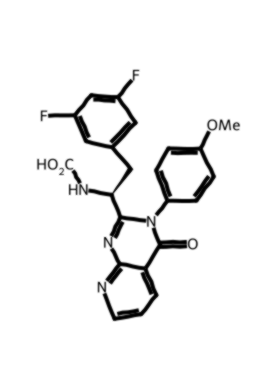 COc1ccc(-n2c([C@H](Cc3cc(F)cc(F)c3)NC(=O)O)nc3ncccc3c2=O)cc1